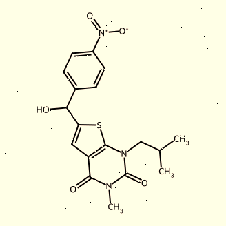 CC(C)Cn1c(=O)n(C)c(=O)c2cc(C(O)c3ccc([N+](=O)[O-])cc3)sc21